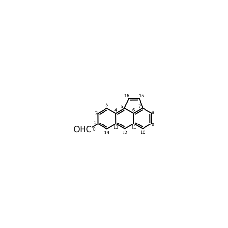 O=Cc1ccc2c3c4c(cccc4cc2c1)C=C3